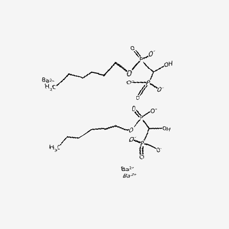 CCCCCCOP(=O)([O-])C(O)P(=O)([O-])[O-].CCCCCCOP(=O)([O-])C(O)P(=O)([O-])[O-].[Ba+2].[Ba+2].[Ba+2]